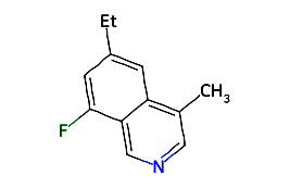 CCc1cc(F)c2cncc(C)c2c1